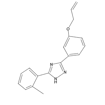 C=CCOc1cccc(-c2n[nH]c(-c3ccccc3C)n2)c1